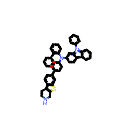 C1=Cc2c(sc3cc(-c4ccc(N(c5ccc6c7ccccc7n(-c7ccccc7)c6c5)c5ccccc5-c5ccccc5)cc4)ccc23)CN1